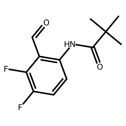 CC(C)(C)C(=O)Nc1ccc(F)c(F)c1C=O